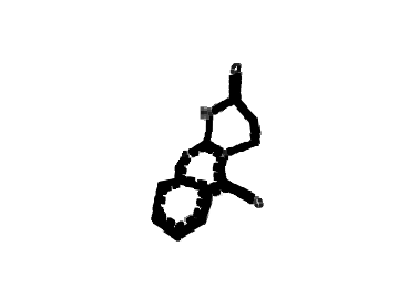 O=C1CCn2c(nc3c[c]ccc3c2=O)N1